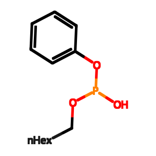 CCCCCCCOP(O)Oc1ccccc1